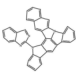 c1ccc2cc3c(cc2c1)c1c2c(cc4c5ccccc5n3c41)c1ccccc1n2-c1ncc2ccccc2n1